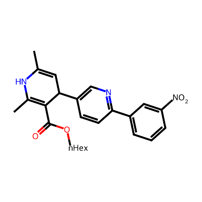 CCCCCCOC(=O)C1=C(C)NC(C)=CC1c1ccc(-c2cccc([N+](=O)[O-])c2)nc1